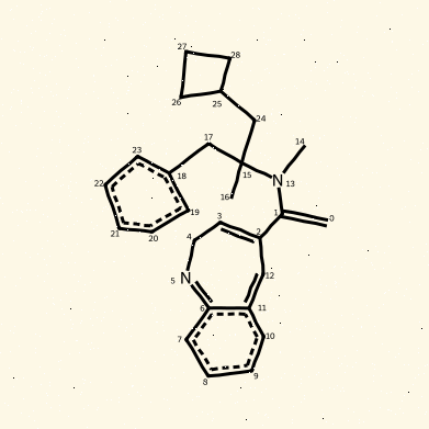 C=C(C1=CCN=c2ccccc2=C1)N(C)C(C)(Cc1ccccc1)CC1CCC1